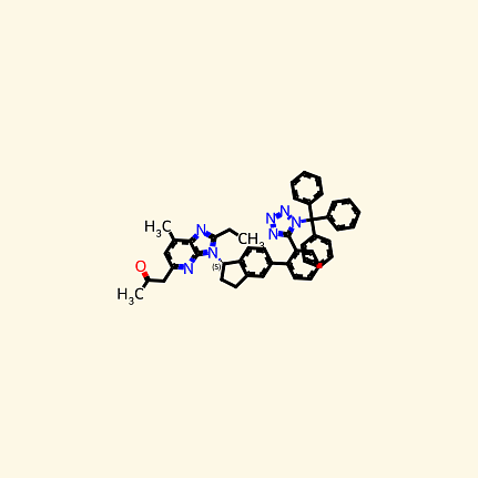 CCc1nc2c(C)cc(CC(C)=O)nc2n1[C@H]1CCc2cc(-c3ccccc3-c3nnnn3C(c3ccccc3)(c3ccccc3)c3ccccc3)ccc21